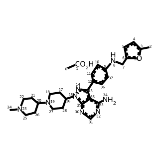 CC(=O)O.Cc1ccc(CNc2ccc(-c3nn(C4CCN(C5CCN(C)CC5)CC4)c4ncnc(N)c34)cc2)o1